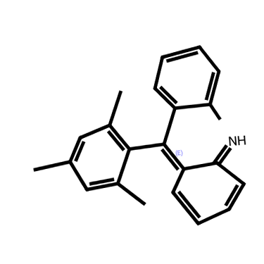 Cc1cc(C)c(/C(=C2\C=CC=CC2=N)c2ccccc2C)c(C)c1